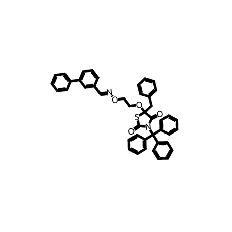 O=C1SC(Cc2ccccc2)(OCCON=Cc2cccc(-c3ccccc3)c2)C(=O)N1C(c1ccccc1)(c1ccccc1)c1ccccc1